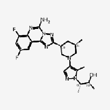 Cc1c(N2C[C@H](C)C[C@H](c3nc4c5cc(F)cc(F)c5nc(N)n4n3)C2)cnn1[C@@H](C)[C@H](C)O